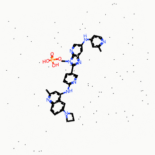 Cc1cc(Nc2cnc3c(c2)nc(-c2ccc(Nc4cc(C)nc5ccc(N6CCC6)cc45)nc2)n3COP(=O)(O)O)ccn1